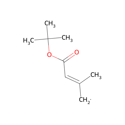 [CH2]C(C)=CC(=O)OC(C)(C)C